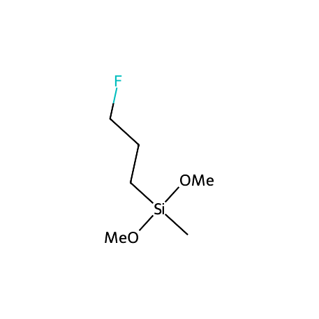 CO[Si](C)(CCCF)OC